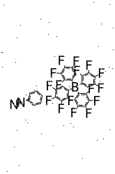 Fc1cc([B-](c2cc(F)c(F)c(F)c2F)(c2cc(F)c(F)c(F)c2F)c2cc(F)c(F)c(F)c2F)c(F)c(F)c1F.N#[N+]c1ccccc1